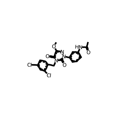 COc1nn(-c2cccc(NC(C)=O)c2)c(=O)n(Cc2ccc(Cl)cc2Cl)c1=O